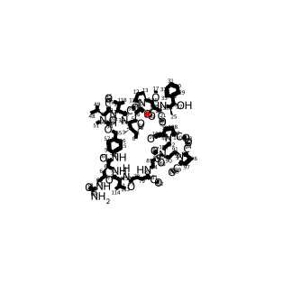 CC[C@H](C)[C@@H]([C@@H](CC(=C=O)N1CCC[C@H]1[C@H](OC)[C@H](C)C(=C=O)N[C@H](C)[C@@H](O)c1ccccc1)OC)N(C)C(=C=O)[C@@H](NC(=C=O)[C@H](C(C)C)N(C)C(=O)OCc1ccc(NC(=O)[C@H](CCCNC(N)=O)NC(=O)[C@@H](NC(=O)CCC(=C=O)NCCS(=O)(=O)N(CCn2c(=C=O)ccc2=C=O)CCn2c(=C=O)ccc2=C=O)C(C)C)cc1)C(C)C